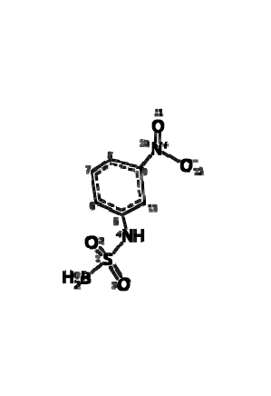 BS(=O)(=O)Nc1cccc([N+](=O)[O-])c1